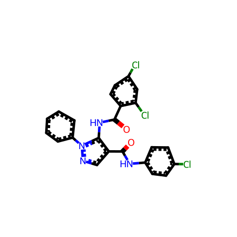 O=C(Nc1c(C(=O)Nc2ccc(Cl)cc2)cnn1-c1ccccc1)c1ccc(Cl)cc1Cl